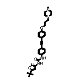 CN1CCN(CCCOc2ccc(C#Cc3ccc(NC(=O)Nc4cc(C(C)(C)C)on4)cc3)cc2)CC1